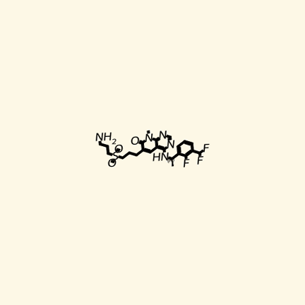 C[C@@H](Nc1ncnc2c1cc(CCCS(=O)(=O)CCCN)c(=O)n2C)c1cccc(C(F)F)c1F